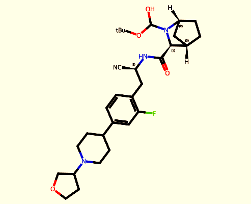 CC(C)(C)OC(O)N1[C@@H]2CC[C@@H](C2)[C@H]1C(=O)N[C@H](C#N)Cc1ccc(C2CCN(C3CCOC3)CC2)cc1F